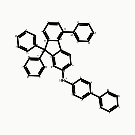 c1ccc(-c2ccc(Nc3ccc4c(c3)C(c3ccccc3)(c3ccccc3)c3cccc(-c5ccccc5)c3-4)cc2)cc1